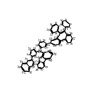 c1ccc(-c2c(-c3ccccc3)c3cc(-c4cccc(N(c5cccc(-c6ccc7ccccc7c6)c5)c5cccc6c5sc5ccccc56)c4)ccc3c3ccccc23)cc1